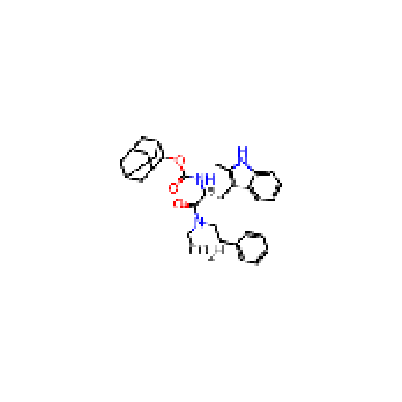 Cc1[nH]c2ccccc2c1C[C@@H](NC(=O)OC1C2CC3CC(C2)CC1C3)C(=O)N(CCc1ccccc1)CC(=O)O